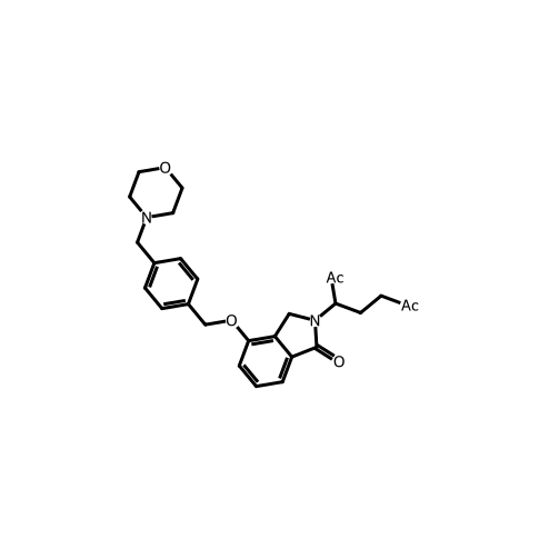 CC(=O)CCC(C(C)=O)N1Cc2c(OCc3ccc(CN4CCOCC4)cc3)cccc2C1=O